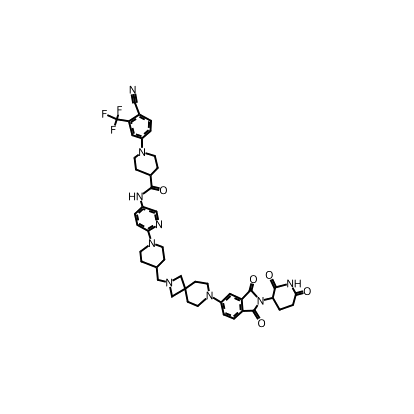 N#Cc1ccc(N2CCC(C(=O)Nc3ccc(N4CCC(CN5CC6(CCN(c7ccc8c(c7)C(=O)N(C7CCC(=O)NC7=O)C8=O)CC6)C5)CC4)nc3)CC2)cc1C(F)(F)F